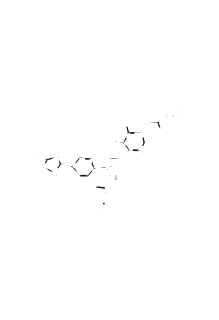 CCOC(=O)Cn1cnc(OC[C@H](NC(=O)OC(C)(C)C)c2ccc(-c3noc(C)n3)cc2)c(Br)c1=O